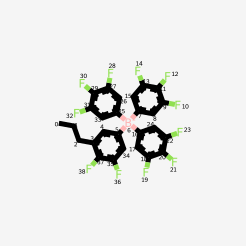 CCCc1cc([B-](c2cc(F)c(F)c(F)c2)(c2cc(F)c(F)c(F)c2)c2cc(F)c(F)c(F)c2)cc(F)c1F